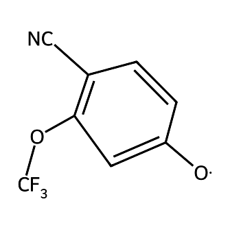 N#Cc1ccc([O])cc1OC(F)(F)F